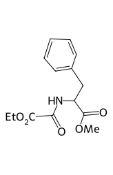 CCOC(=O)C(=O)NC(Cc1ccccc1)C(=O)OC